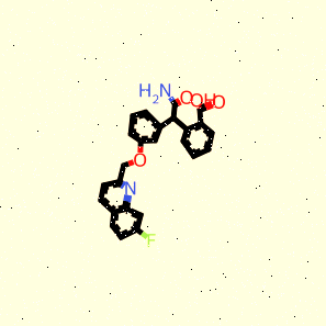 NC(=O)C(c1cccc(OCc2ccc3ccc(F)cc3n2)c1)c1ccccc1C(=O)O